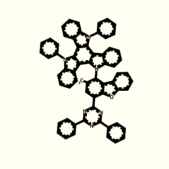 FC(F)(F)c1cc(-c2nc(-c3ccccc3)nc(-c3ccccc3)n2)c2oc3ccccc3c2c1-n1c2ccccc2c2c3c(c4ccccc4n3-c3ccccc3)c3c(c4ccccc4n3-c3ccccc3)c21